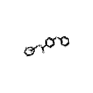 O=C(NC1CC2CCN(CC2)C1)c1ccc(Sc2ccccc2)cc1